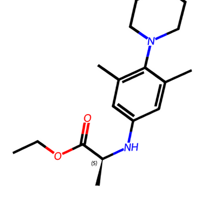 CCOC(=O)[C@H](C)Nc1cc(C)c(N2CCOCC2)c(C)c1